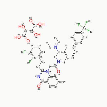 CCN(CC)CCN(Cc1ccc(-c2ccc(C(F)(F)F)cc2)cc1)C(=O)Cn1c(CCc2cccc(F)c2F)nc(=O)c2ccc(C)cc21.O=C(O)C(O)C(O)C(=O)O